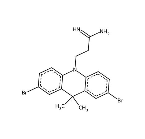 CC1(C)c2cc(Br)ccc2N(CCC(=N)N)c2ccc(Br)cc21